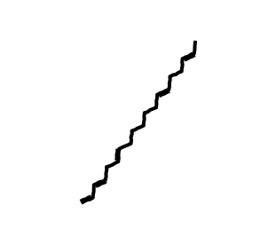 C=C/C=C/C/C=C/CCCCC/C=C/CC/C=C/C